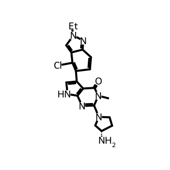 CCn1cc2c(Cl)c(-c3c[nH]c4nc(N5CC[C@H](N)C5)n(C)c(=O)c34)ccc2n1